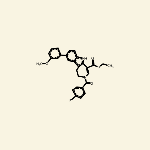 CCOC(=O)C1=CN(C(=O)c2ccc(F)cc2)CCc2c1[nH]c1ccc(-c3cccc(OC)c3)cc21